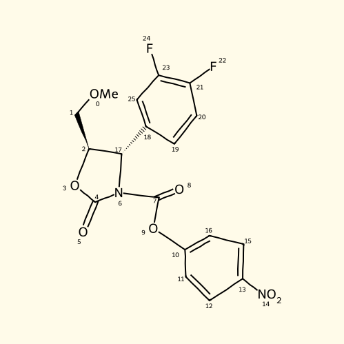 COC[C@@H]1OC(=O)N(C(=O)Oc2ccc([N+](=O)[O-])cc2)[C@H]1c1ccc(F)c(F)c1